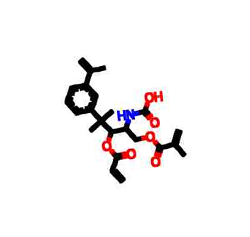 C=CC(=O)OC(C(COC(=O)C(=C)C)NC(=O)O)C(C)(C)c1cccc(C(=C)C)c1